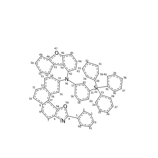 c1ccc(-c2nc3ccc4ccc5ccc(N(c6cccc([Si](c7ccccc7)(c7ccccc7)c7ccccc7)c6)c6cccc7oc8ccccc8c67)cc5c4c3o2)cc1